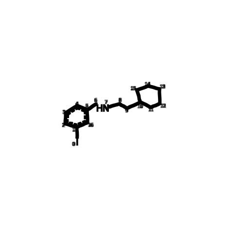 Ic1cccc(CNCCC2CCCCC2)c1